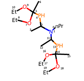 CCCN(C(C)PC(C)(OCC)OCC)C(C)PC(C)(OCC)OCC